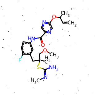 C=CC(C)Oc1cnc(C(=O)Nc2ccc(F)c(C[C@](C)(COC)S/C(N)=N\C)c2)cn1